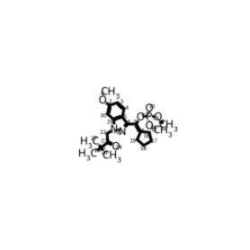 COc1ccc2c(C(OP(=O)(OC)OC)=C3CCCC3)nn(CC(=O)C(C)(C)C)c2c1